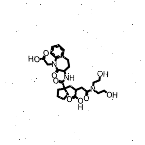 O=C(O)CN1C(=O)C(NC(=O)C2(CC(CC(=O)N(CCO)CCO)C(=O)O)CCCC2)CCc2ccccc21